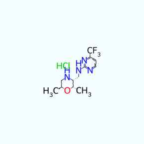 C[C@@H]1O[C@@H](C)CN[C@@H]1CNc1nccc(C(F)(F)F)n1.Cl